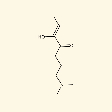 CC=C(O)C(=O)CCCN(C)C